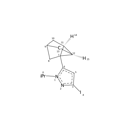 CC(C)n1nc(I)cc1C12CC3C[C@H]1[C@@H]2C3